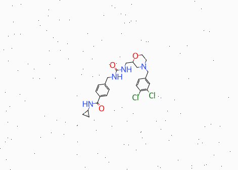 O=C(NCc1ccc(C(=O)NC2CC2)cc1)NCC1CN(Cc2ccc(Cl)c(Cl)c2)CCO1